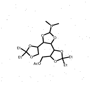 CCC1(CC)OCC(C2OC(N(C)C)OC2C2OC(CC)(CC)OC2COC(C)=O)O1